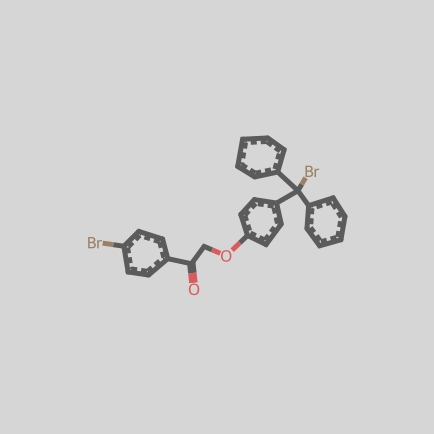 O=C(COc1ccc(C(Br)(c2ccccc2)c2ccccc2)cc1)c1ccc(Br)cc1